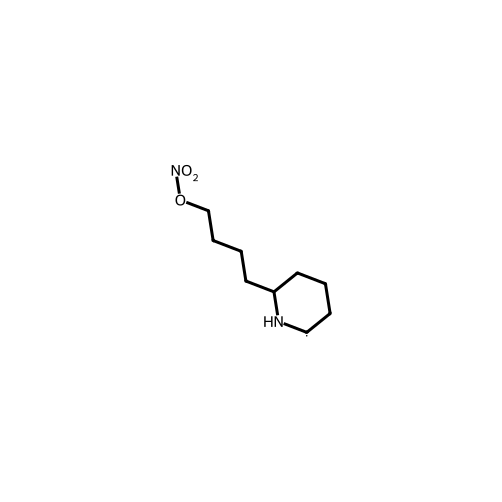 O=[N+]([O-])OCCCCC1CCC[CH]N1